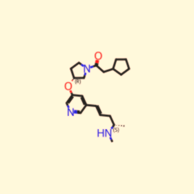 CN[C@@H](C)CC=Cc1cncc(O[C@@H]2CCN(C(=O)CC3CCCC3)C2)c1